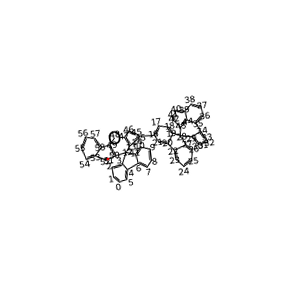 c1ccc2c(c1)-c1ccccc1C21c2cc(-c3ccc4c(c3)-c3ccccc3C43c4ccccc4-c4cccc5cccc3c45)ccc2Oc2c1ccc1ccccc21